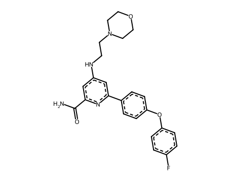 NC(=O)c1cc(NCCN2CCOCC2)cc(-c2ccc(Oc3ccc(F)cc3)cc2)n1